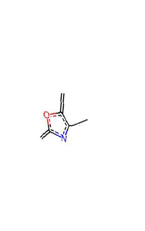 C=c1nc(C)c(=C)o1